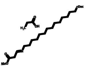 CCC(=O)O.CCCCCCCCCCCCCCCCCCCCCCCCN=CCC(=O)OC